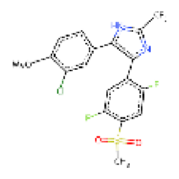 COc1ccc(-c2[nH]c(C(F)(F)F)nc2-c2cc(F)c(S(C)(=O)=O)cc2F)cc1Cl